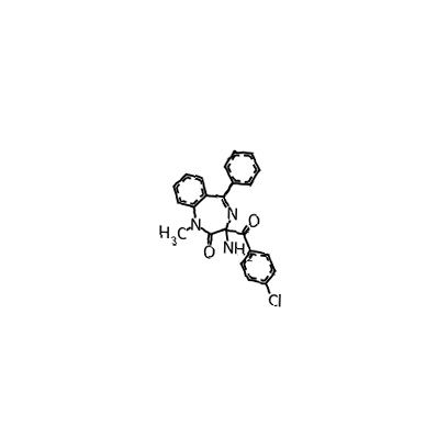 CN1C(=O)C(N)(C(=O)c2ccc(Cl)cc2)N=C(c2ccccc2)c2ccccc21